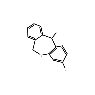 CC1c2ccccc2CSc2cc(Cl)ccc21